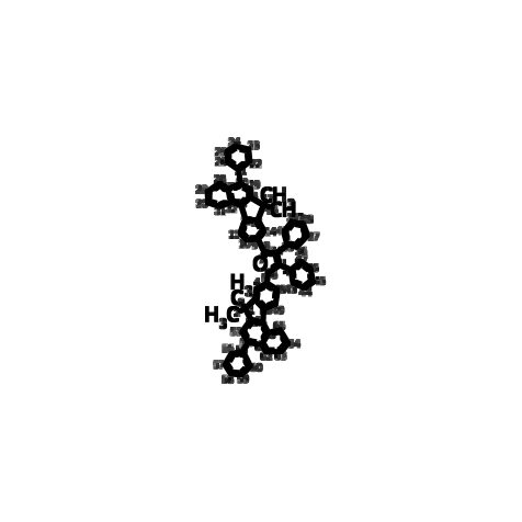 CC1(C)c2cc(-c3oc(-c4ccc5c(c4)C(C)(C)c4cc(-c6ccccc6)c6ccccc6c4-5)c(-c4ccccc4)c3-c3ccccc3)ccc2-c2c1cc(-c1ccccc1)c1ccccc21